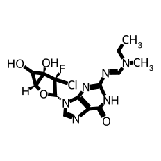 CCN(C)/C=N/c1nc2c(ncn2[C@@H]2O[C@@H]3C(O)[C@]3(O)[C@]2(F)Cl)c(=O)[nH]1